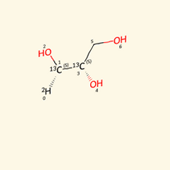 [2H][13C@H](O)[13C@@H](O)CO